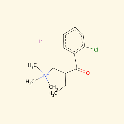 CCC(C[N+](C)(C)C)C(=O)c1ccccc1Cl.[I-]